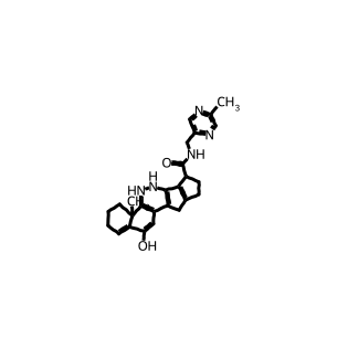 Cc1cnc(CNC(=O)C2CCC3=C2C2=C(C3)C3=C(NN2)C2(C)CCCC=C2C(O)=C3)cn1